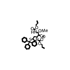 C=CCOC(=O)NC(OC)C(=C=O)C1CC(SC(c2ccccc2)(c2ccccc2)c2ccccc2)CN1C(=O)OCC=C